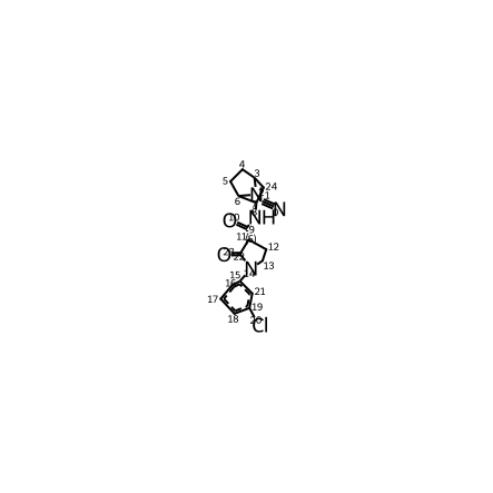 N#CN1C2CCC1C(NC(=O)[C@@H]1CCN(c3cccc(Cl)c3)C1=O)C2